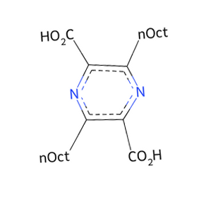 CCCCCCCCc1nc(C(=O)O)c(CCCCCCCC)nc1C(=O)O